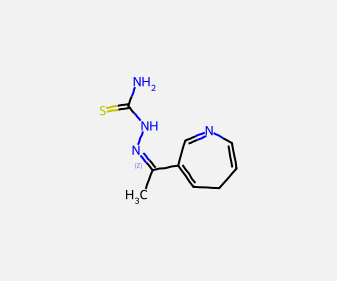 C/C(=N/NC(N)=S)C1=CCC=CN=C1